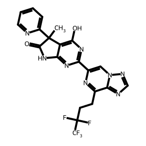 CC1(c2ccccn2)C(=O)Nc2nc(-c3cn4ncnc4c(CCC(F)(F)C(F)(F)F)n3)nc(O)c21